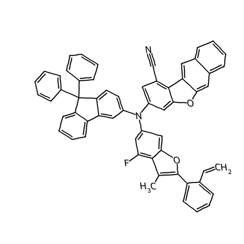 C=Cc1ccccc1-c1oc2cc(N(c3ccc4c(c3)-c3ccccc3C4(c3ccccc3)c3ccccc3)c3cc(C#N)c4c(c3)oc3cc5ccccc5cc34)cc(F)c2c1C